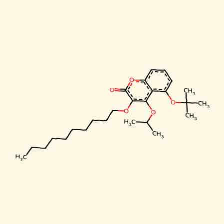 CCCCCCCCCCOc1c(OC(C)C)c2c(OC(C)(C)C)cccc2oc1=O